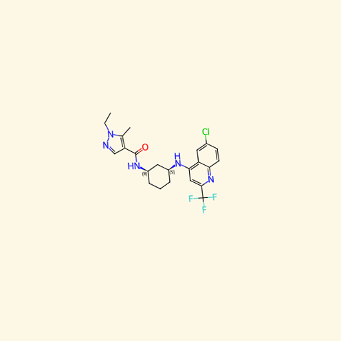 CCn1ncc(C(=O)N[C@@H]2CCC[C@H](Nc3cc(C(F)(F)F)nc4ccc(Cl)cc34)C2)c1C